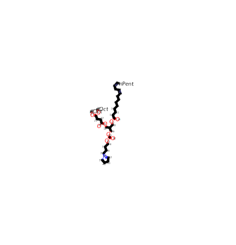 CCCCC/C=C\C/C=C\CCCCCCCC(=O)OCC(COC(=O)CCC(OCCCCCCCC)OCCCCCCCC)COC(=O)OCCCCN1CCCC1